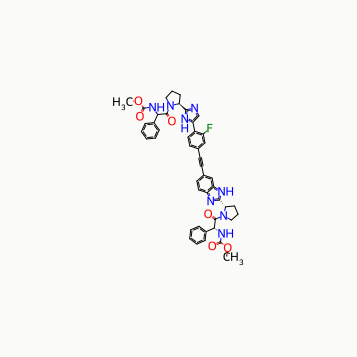 COC(=O)N[C@@H](C(=O)N1CCC[C@H]1c1ncc(-c2ccc(C#Cc3ccc4nc([C@@H]5CCCN5C(=O)[C@H](NC(=O)OC)c5ccccc5)[nH]c4c3)cc2F)[nH]1)c1ccccc1